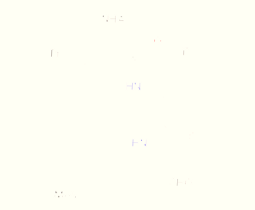 CSCC[C@@H](C=O)NC(=O)C(CC(C)C)NC(=O)[C@H](CC(C)C)NC(C)=O